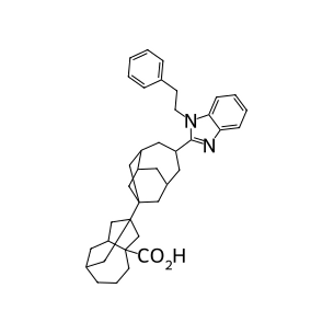 O=C(O)C12CCCC3CC1CC(C14CC5CC(c6nc7ccccc7n6CCc6ccccc6)CC(C1)C(C5)C4)(C3)C2